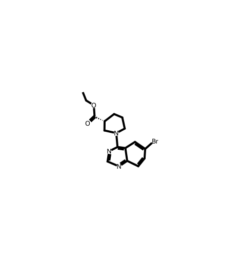 CCOC(=O)[C@@H]1CCCN(c2ncnc3ccc(Br)cc23)C1